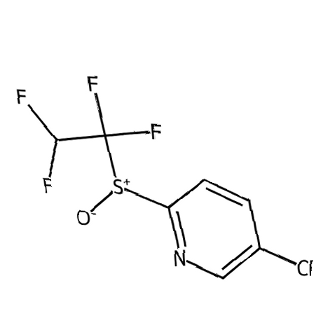 [O-][S+](c1ccc(C(F)(F)F)cn1)C(F)(F)C(F)F